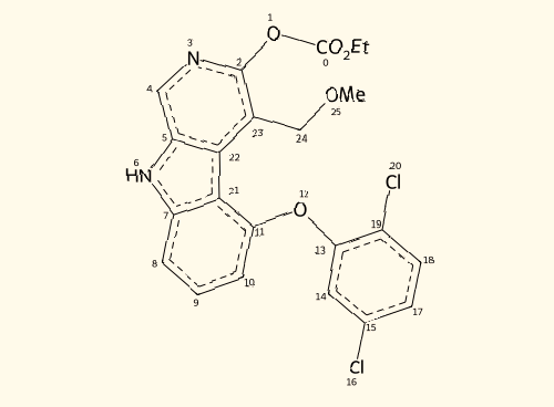 CCOC(=O)Oc1ncc2[nH]c3cccc(Oc4cc(Cl)ccc4Cl)c3c2c1COC